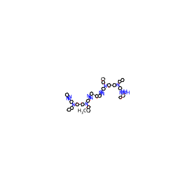 CC1CC=Cc2ccc(N(c3ccc(-c4ccc(N(c5ccc(-n6nc7ccccc7n6)cc5)c5ccc6ccccc6c5)cc4)cc3)c3ccc(-n4nc5cccc(-c6ccc7ccc8nn(-c9ccc(N(c%10ccc(-c%11ccc(N(c%12ccc(N/N=C%13\C(=N)C=Cc%14ccccc%14%13)cc%12)c%12ccc%13ccccc%13c%12)cc%11)cc%10)c%10ccc%11c(c%10)C=CCC%11)cc9)nc8c7c6)c5n4)cc3)cc21